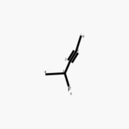 [CH2]C#CC(C)F